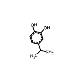 CC(N)c1ccc(O)c(O)c1